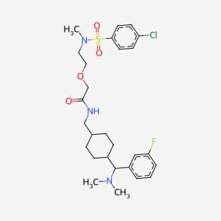 CN(C)C(c1cccc(F)c1)C1CCC(CNC(=O)COCCN(C)S(=O)(=O)c2ccc(Cl)cc2)CC1